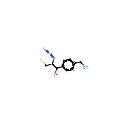 [N-]=[N+]=N[C@H](CF)[C@H](O)c1ccc(CN)cc1